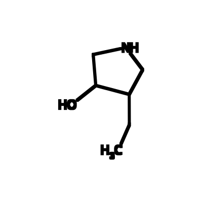 CCC1CNCC1O